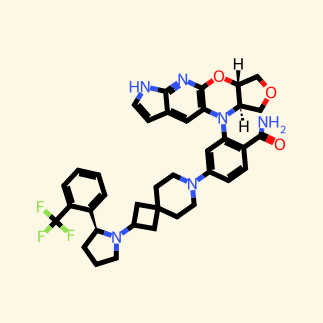 NC(=O)c1ccc(N2CCC3(CC2)CC(N2CCC[C@H]2c2ccccc2C(F)(F)F)C3)cc1N1c2cc3cc[nH]c3nc2O[C@@H]2COC[C@H]21